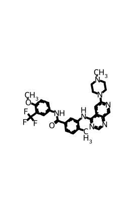 COc1ccc(NC(=O)c2ccc(C)c(Nc3ncnc4cnc(N5CCN(C)CC5)cc34)c2)cc1C(F)(F)F